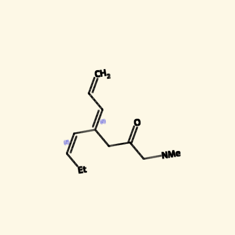 C=C/C=C(\C=C/CC)CC(=O)CNC